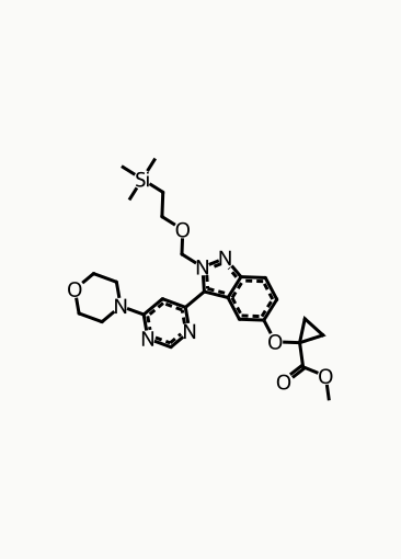 COC(=O)C1(Oc2ccc3nn(COCC[Si](C)(C)C)c(-c4cc(N5CCOCC5)ncn4)c3c2)CC1